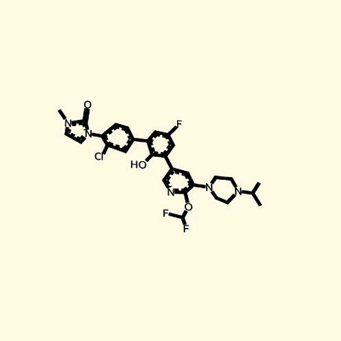 CC(C)N1CCN(c2cc(-c3cc(F)cc(-c4ccc(-n5ccn(C)c5=O)c(Cl)c4)c3O)cnc2OC(F)F)CC1